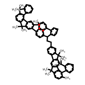 Cc1ccc2c(c1-c1ccccc1C(C)C)-c1cc3c(cc1C2(C)C)-c1ccc(CCC(c2ccc4c(c2)C(C)(C)c2cc5c(cc2-4)C(C)(C)c2ccc4c(c2-5)-c2ccccc2[Si]4(C)C)c2ccccc2-c2ccccc2)cc1C3(C)C